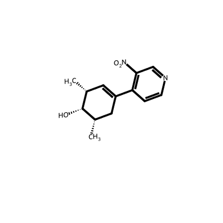 C[C@@H]1C=C(c2ccncc2[N+](=O)[O-])C[C@H](C)[C@@H]1O